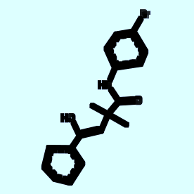 CC(C)(C=C(O)c1ccccc1)C(=O)Nc1ccc(Br)cc1